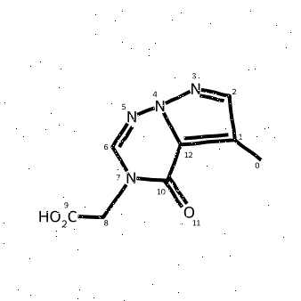 Cc1cnn2ncn(CC(=O)O)c(=O)c12